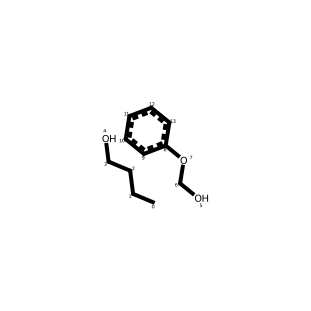 CCCCO.OCOc1ccccc1